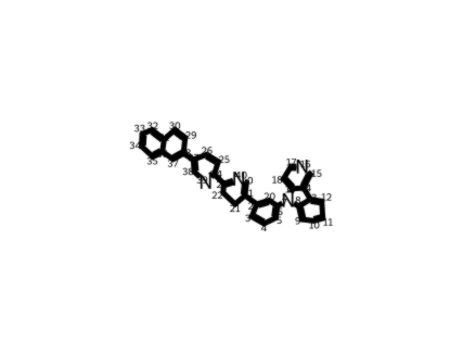 C1=C(c2cccc(-n3c4ccccc4c4cnccc43)c2)CCC(c2ccc(-c3ccc4ccccc4c3)cn2)=N1